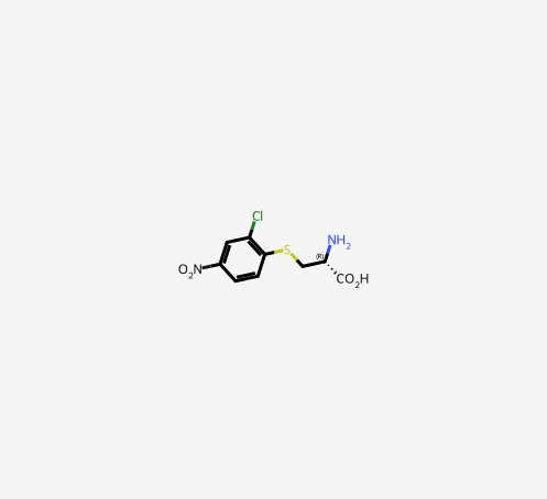 N[C@@H](CSc1ccc([N+](=O)[O-])cc1Cl)C(=O)O